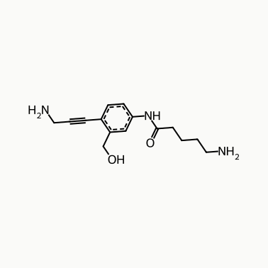 NCC#Cc1ccc(NC(=O)CCCCN)cc1CO